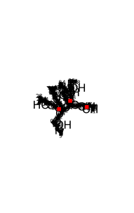 CC(CC(O)CN1CC1C)OCCOCC(COCCOCC(O)CN1CC1C)(COCCOCC(O)CN1CC1C)COCC(COCCOCC(O)CN1CC1C)(COCCOCC(O)CN1CC1C)COCCOCC(O)CN1CC1C